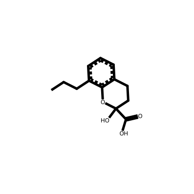 CCCc1cccc2c1OC(O)(C(=O)O)CC2